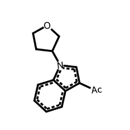 CC(=O)c1cn(C2CCOC2)c2ccccc12